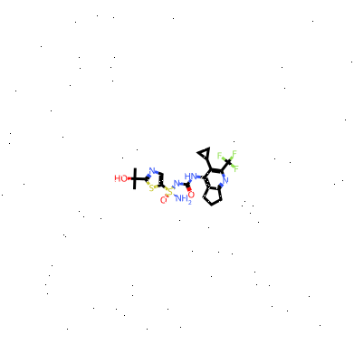 CC(C)(O)c1ncc([S@](N)(=O)=NC(=O)Nc2c3c(nc(C(F)(F)F)c2C2CC2)CCC3)s1